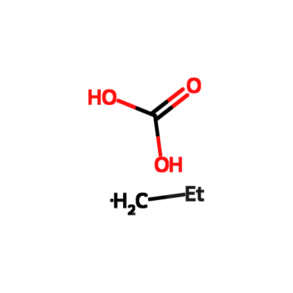 O=C(O)O.[CH2]CC